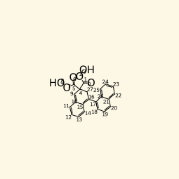 O=C(OO)C1(C(=O)OO)C=c2ccccc2=C(c2cccc3ccccc23)C1